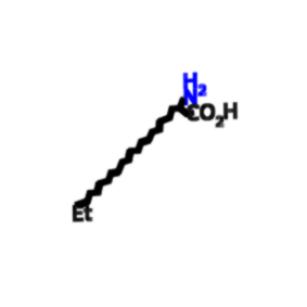 CC/C=C/C/C=C/C/C=C/C/C=C/C/C=C/C/C=C/CCC(CN)CC(=O)O